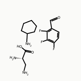 NC1CCCCC1.NC[C@H](N)C(=O)O.O=Cc1ccc(F)c(F)c1F